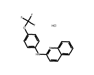 Cl.FC(F)(F)Oc1ccc(Nc2ccc3ccccc3n2)cc1